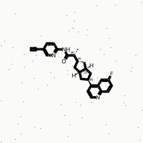 C#Cc1ccc(NC(=O)[C@H](C)[C@@H]2C[C@H]3C[C@@H](c4ccnc5ccc(F)cc45)C[C@H]3C2)nc1